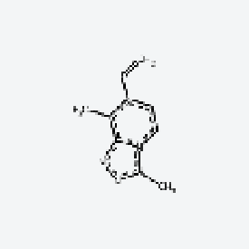 C=Cc1ccn2c(C)nnc2c1C(F)(F)F